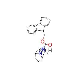 O=C(OCC1c2ccccc2-c2ccccc21)N1CC2CCC(C1)N2C(=O)O